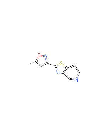 Cc1cc(-c2nc3cnccc3s2)no1